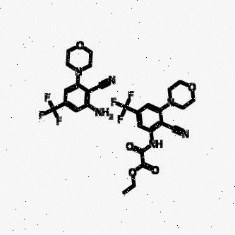 CCOC(=O)C(=O)Nc1cc(C(F)(F)F)cc(N2CCOCC2)c1C#N.N#Cc1c(N)cc(C(F)(F)F)cc1N1CCOCC1